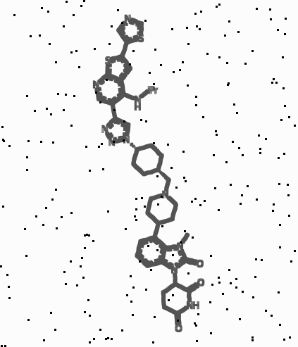 CC(C)Nc1c(-c2cn([C@H]3CC[C@H](CN4CCC(c5cccc6c5n(C)c(=O)n6C5CCC(=O)NC5=O)CC4)CC3)nn2)cnc2sc(-c3cncs3)cc12